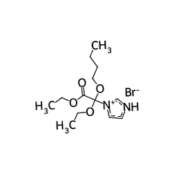 CCCCOC(OCC)(C(=O)OCC)[n+]1cc[nH]c1.[Br-]